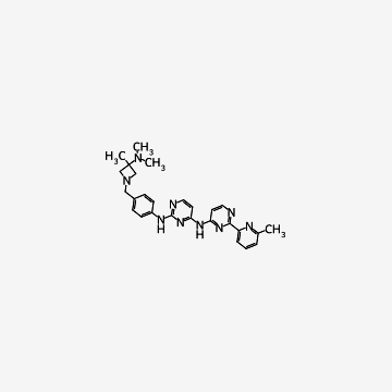 Cc1cccc(-c2nccc(Nc3ccnc(Nc4ccc(CN5CC(C)(N(C)C)C5)cc4)n3)n2)n1